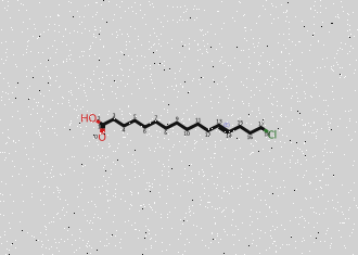 O=C(O)CCCCCCCCCC/C=C/CCCCl